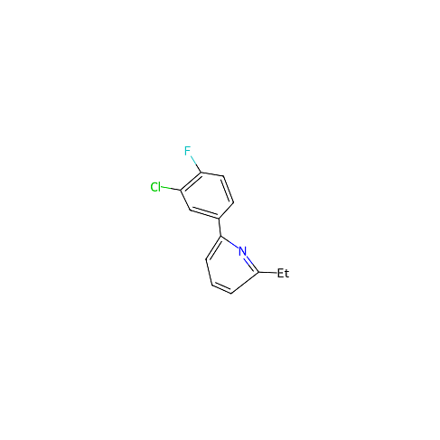 CCc1cccc(-c2ccc(F)c(Cl)c2)n1